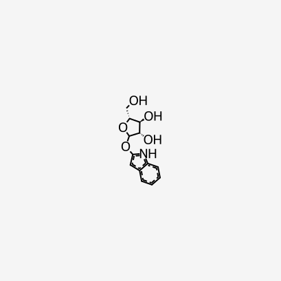 OC[C@H]1OC(Oc2cc3ccccc3[nH]2)[C@@H](O)[C@@H]1O